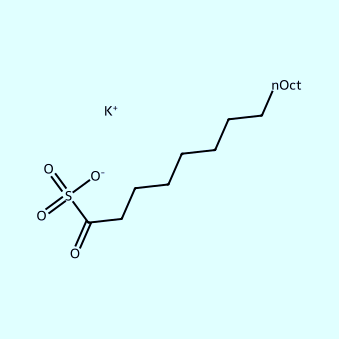 CCCCCCCCCCCCCCCC(=O)S(=O)(=O)[O-].[K+]